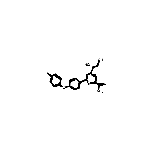 NC(=O)c1nc(-c2ccc(Oc3ccc(F)cc3)cc2)cc([C@H](O)CO)n1